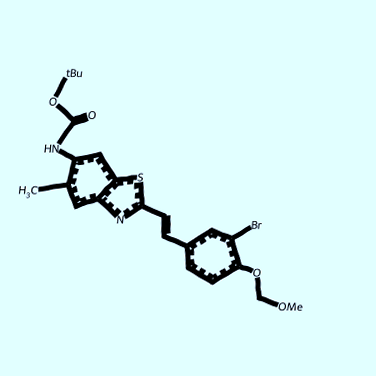 COCOc1ccc(/C=C/c2nc3cc(C)c(NC(=O)OC(C)(C)C)cc3s2)cc1Br